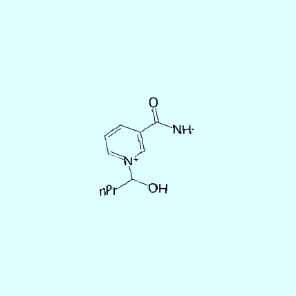 CCCC(O)[n+]1cccc(C([NH])=O)c1